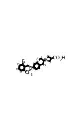 O=C(O)C1CN(C2COc3cc(OCc4c(F)cccc4C(F)(F)F)ccc3C2)C1